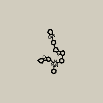 c1ccc(-c2nc(-c3cccc(-c4cccc5c4sc4ccc(-c6ccc(-c7nc8ccccc8o7)cc6)cc45)c3)nc(-c3ccc4oc5ccccc5c4c3)n2)cc1